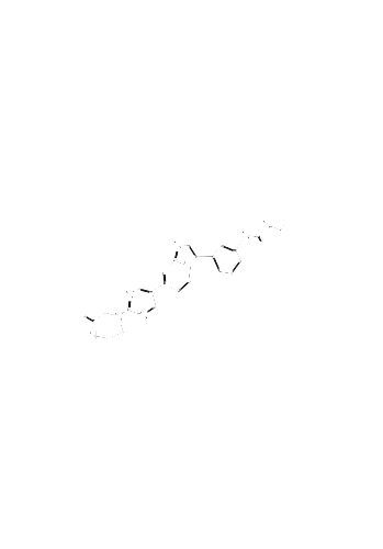 O=C1CN(c2ncc(-c3ccn4c(-c5cccc(NC(=O)NCC(F)(F)F)c5)cnc4c3)cn2)CCN1